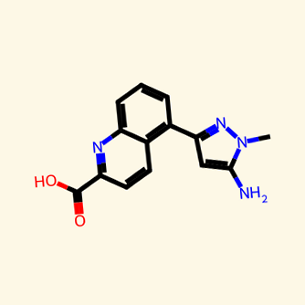 Cn1nc(-c2cccc3nc(C(=O)O)ccc23)cc1N